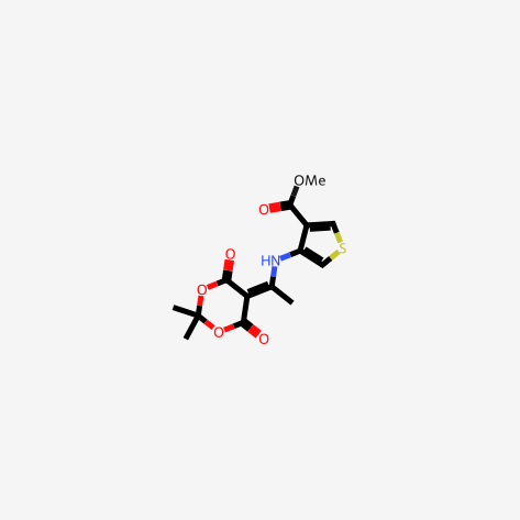 COC(=O)c1cscc1NC(C)=C1C(=O)OC(C)(C)OC1=O